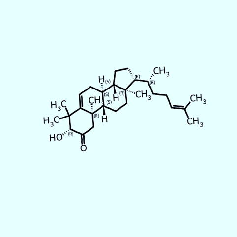 CC(C)=CCC[C@@H](C)[C@H]1CC[C@H]2[C@@H]3CC=C4C(C)(C)[C@@H](O)C(=O)C[C@]4(C)[C@H]3CC[C@]12C